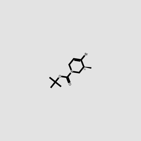 C[C@H]1CN(C(=O)OC(C)(C)C)CC=C1Br